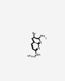 CCCCCNc1ccc2cc(Br)c(N)nc2n1